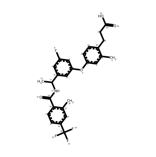 Cc1cc(Oc2cc(F)cc(C(C)NC(=O)c3ccc(C(F)(F)F)cc3C)c2)ccc1CCC(=O)O